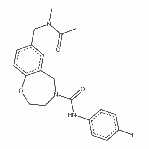 CC(=O)N(C)Cc1ccc2c(c1)CN(C(=O)Nc1ccc(F)cc1)CCO2